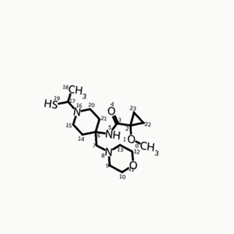 COC1(C(=O)NC2(CN3CCOCC3)CCN(C(C)S)CC2)CC1